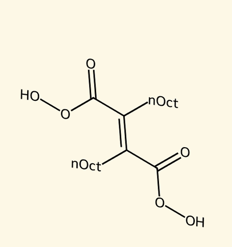 CCCCCCCCC(C(=O)OO)=C(CCCCCCCC)C(=O)OO